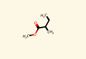 CCC(C)C(=O)OC